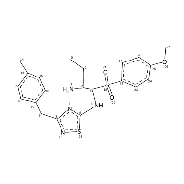 CCC(N)C(Nc1nc(Cc2ccc(C)cc2)ns1)S(=O)(=O)c1ccc(OC)cc1